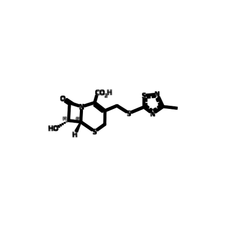 Cc1nsc(SCC2=C(C(=O)O)N3C(=O)[C@@H](O)[C@H]3SC2)n1